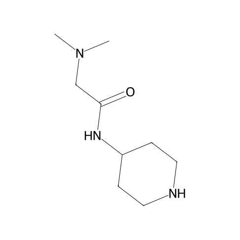 CN(C)CC(=O)NC1CCNCC1